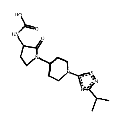 CC(C)c1nsc(N2CCC(N3CCC(NC(=O)O)C3=O)CC2)n1